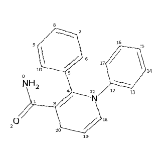 NC(=O)C1=C(c2ccccc2)N(c2ccccc2)C=CC1